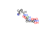 COc1cc(OCC(=O)NCCCCc2cccc(C3(C(=O)O)CCCCC3C3CN4CCC3CC4)c2)c(Cl)cc1CNCC(O)c1ccc(O)c2[nH]c(=O)ccc12